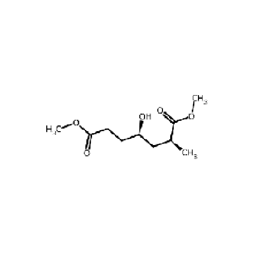 COC(=O)CC[C@@H](O)C[C@H](C)C(=O)OC